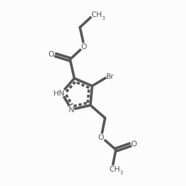 CCOC(=O)c1[nH]nc(COC(C)=O)c1Br